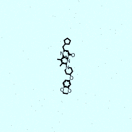 Cc1c(N2CCC(Oc3ccc4c(c3)OCCO4)CC2)nn2c(=O)cc(CC3CCCC3)nc2c1C